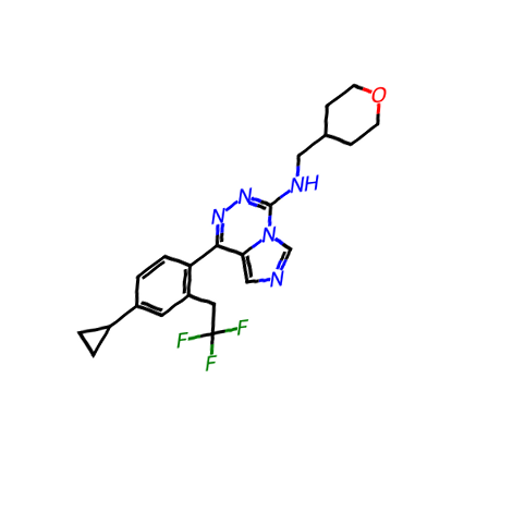 FC(F)(F)Cc1cc(C2CC2)ccc1-c1nnc(NCC2CCOCC2)n2cncc12